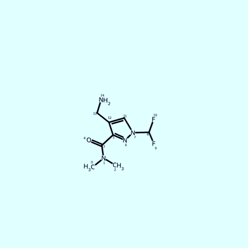 CN(C)C(=O)c1nn(C(F)F)cc1CN